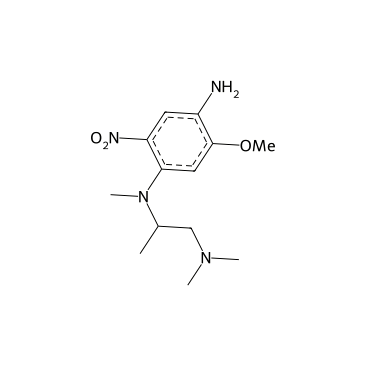 COc1cc(N(C)C(C)CN(C)C)c([N+](=O)[O-])cc1N